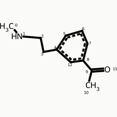 CNCCc1cccc(C(C)=O)c1